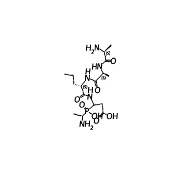 CCC[C@H](NC(=O)[C@H](C)NC(=O)[C@H](C)N)C(=O)NC(CC(=O)O)P(=O)(O)C(C)N